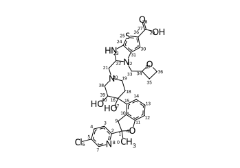 CC1(c2ccc(Cl)cn2)Cc2c(cccc2C2(O)CCN(CC3Nc4sc(C(=O)O)cc4N3CC3CCO3)CC2O)O1